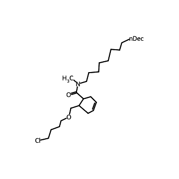 CCCCCCCCCCCCCCCCCCN(C)C(=O)C1CC=CCC1COCCCCCl